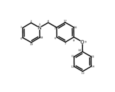 C1=CCN(Cc2ccc(Oc3ccccc3)cc2)C=C1